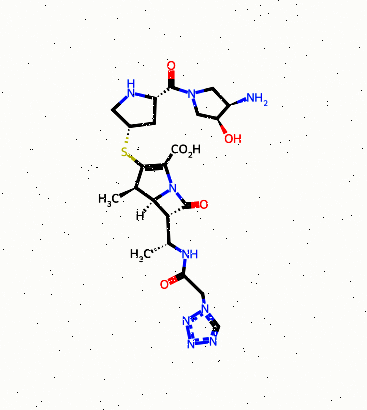 C[C@@H](NC(=O)Cn1cnnn1)[C@H]1C(=O)N2C(C(=O)O)=C(S[C@@H]3CN[C@H](C(=O)N4C[C@@H](N)[C@@H](O)C4)C3)[C@H](C)[C@H]12